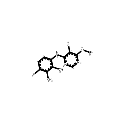 Cc1c(F)ccc(Nc2ncnc(OC(C)C)c2F)c1C#N